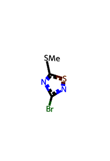 CSc1nc(Br)ns1